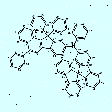 c1ccc(-c2cc3c(c4ccccc24)C(c2ccccc2)(c2ccccc2)c2cc(N(c4ccccc4)c4ccc5c(c4)C4(c6ccccc6-c6ccccc64)c4ccccc4-5)ccc2-3)cc1